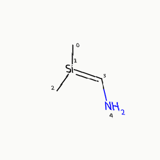 C[Si](C)=CN